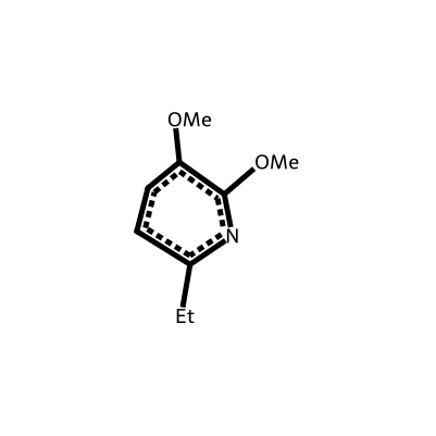 CCc1ccc(OC)c(OC)n1